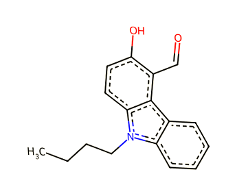 CCCCn1c2ccccc2c2c(C=O)c(O)ccc21